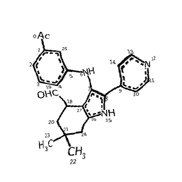 CC(=O)c1cccc(Nc2c(-c3ccncc3)[nH]c3c2C(C=O)CC(C)(C)C3)c1